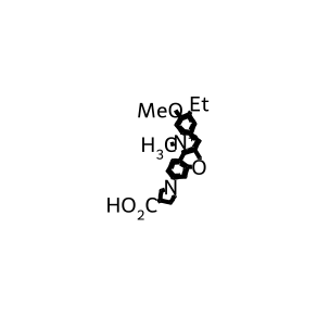 CCc1cc2cc3c([n+](C)c2cc1OC)-c1ccc(N2CCC(C(=O)O)C2)cc1OC3